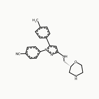 Cc1ccc(-c2cc(NC[C@H]3CNCCO3)nn2-c2ccc(C#N)cc2)cc1